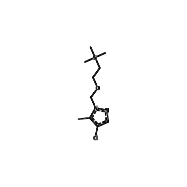 Cc1c(Cl)cnn1COCC[Si](C)(C)C